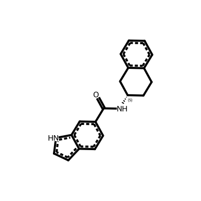 O=C(N[C@H]1CCc2ccccc2C1)c1ccc2cc[nH]c2c1